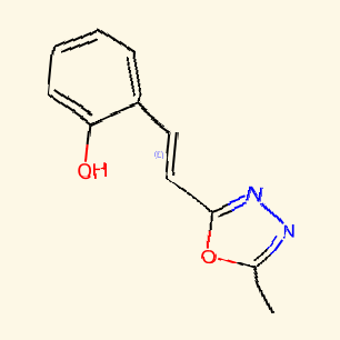 Cc1nnc(/C=C/c2ccccc2O)o1